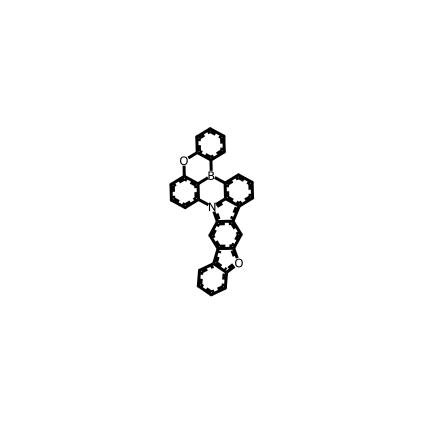 c1ccc2c(c1)Oc1cccc3c1B2c1cccc2c4cc5oc6ccccc6c5cc4n-3c12